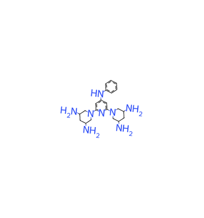 NC1CC(N)CN(c2cc(Nc3ccccc3)cc(N3CC(N)CC(N)C3)n2)C1